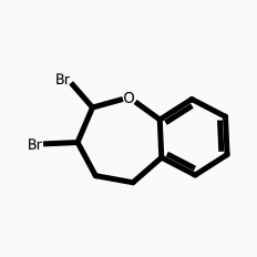 BrC1CCc2ccccc2OC1Br